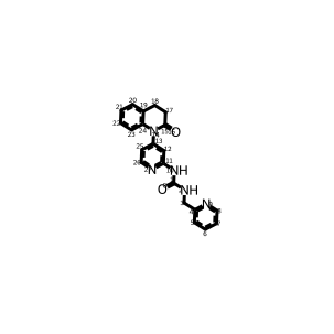 O=C(NCc1ccccn1)Nc1cc(N2C(=O)CCc3ccccc32)ccn1